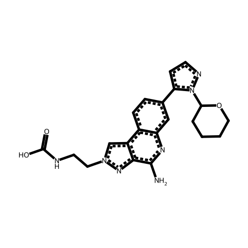 Nc1nc2cc(-c3ccnn3C3CCCCO3)ccc2c2cn(CCNC(=O)O)nc12